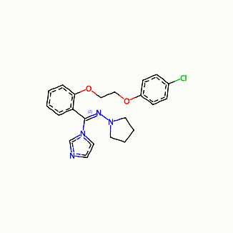 Clc1ccc(OCCOc2ccccc2/C(=N/N2CCCC2)n2ccnc2)cc1